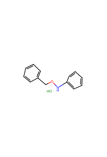 Cl.[c]1ccc(NOCc2ccccc2)cc1